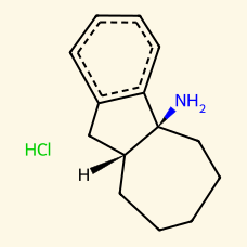 Cl.N[C@@]12CCCCC[C@@H]1Cc1ccccc12